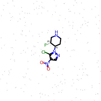 O=[N+]([O-])c1cnn([C@@H]2CCNC[C@H]2F)c1Cl